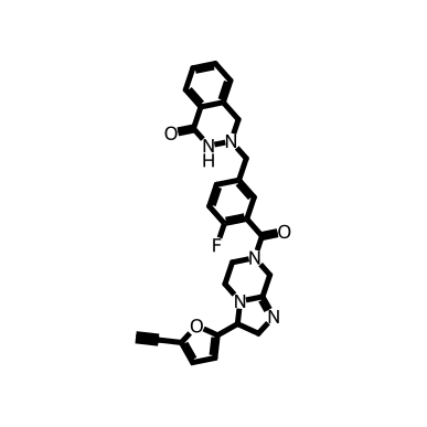 C#Cc1ccc(C2CN=C3CN(C(=O)c4cc(CN5Cc6ccccc6C(=O)N5)ccc4F)CCN32)o1